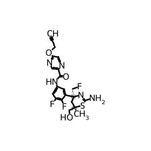 C#CCOc1cnc(C(=O)Nc2cc(F)c(F)c([C@]3(CF)C[C@](C)(CO)SC(N)=N3)c2)cn1